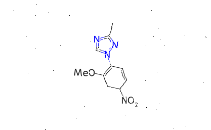 COC1=C(n2cnc(C)n2)C=CC([N+](=O)[O-])C1